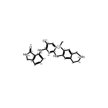 COc1cc2c(cc1Nc1ncc(Cl)c(Nc3cccc4c3C(=O)NC4)n1)CCNC2